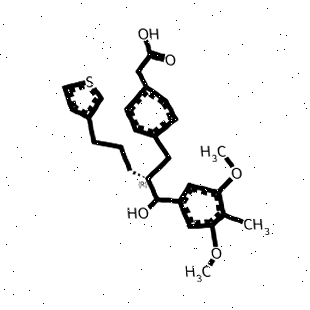 COc1cc(C(O)[C@H](CCCc2ccsc2)Cc2ccc(CC(=O)O)cc2)cc(OC)c1C